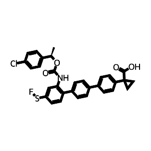 C[C@@H](OC(=O)Nc1cc(SF)ccc1-c1ccc(-c2ccc(C3(C(=O)O)CC3)cc2)cc1)c1ccc(Cl)cc1